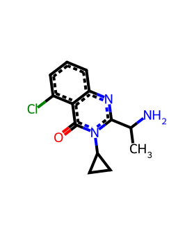 CC(N)c1nc2cccc(Cl)c2c(=O)n1C1CC1